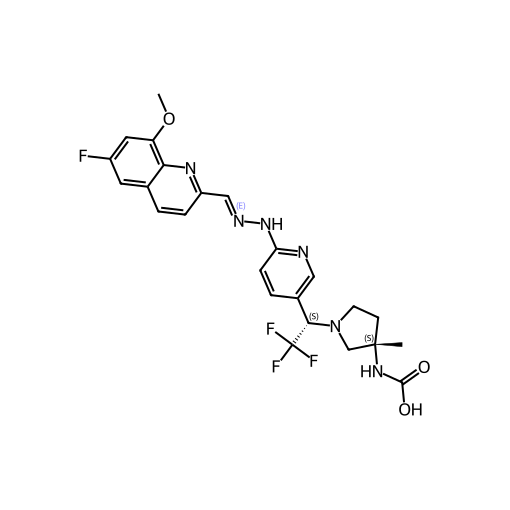 COc1cc(F)cc2ccc(/C=N/Nc3ccc([C@H](N4CC[C@](C)(NC(=O)O)C4)C(F)(F)F)cn3)nc12